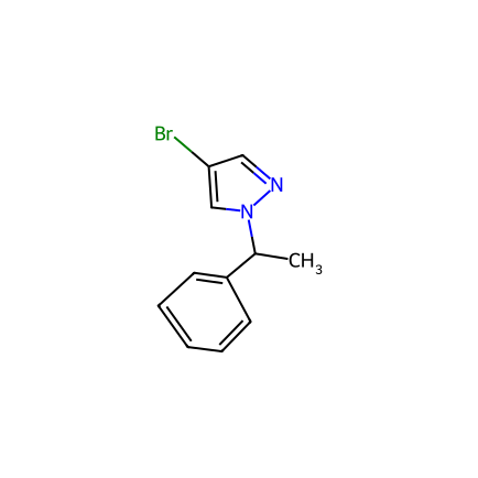 CC(c1ccccc1)n1cc(Br)cn1